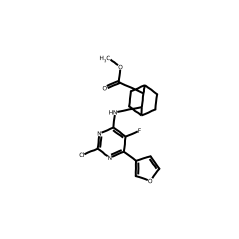 COC(=O)C1C2CCC(CC2)C1Nc1nc(Cl)nc(-c2ccoc2)c1F